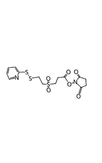 O=C(CCS(=O)(=O)CCSSc1ccccn1)ON1C(=O)CCC1=O